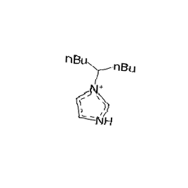 CCCCC(CCCC)[n+]1cc[nH]c1